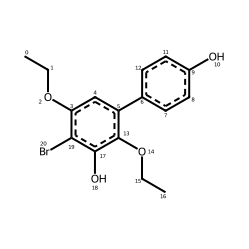 CCOc1cc(-c2ccc(O)cc2)c(OCC)c(O)c1Br